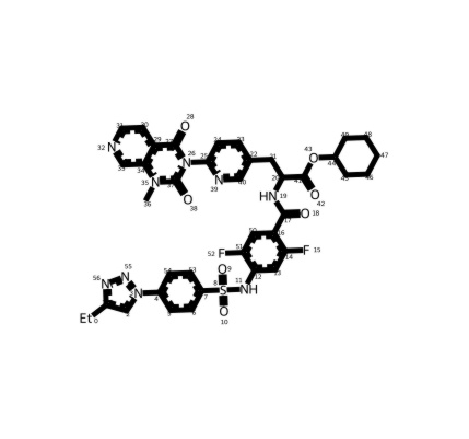 CCc1cn(-c2ccc(S(=O)(=O)Nc3cc(F)c(C(=O)NC(Cc4ccc(-n5c(=O)c6ccncc6n(C)c5=O)nc4)C(=O)OC4CCCCC4)cc3F)cc2)nn1